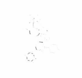 CC(C)(C)[C@H](NC(=O)[C@@H](NC(=O)c1cnccn1)C1CCCCC1)C(=O)N1C[C@H]2[C@@H]([C@H]1C(=O)O)C2(C)C